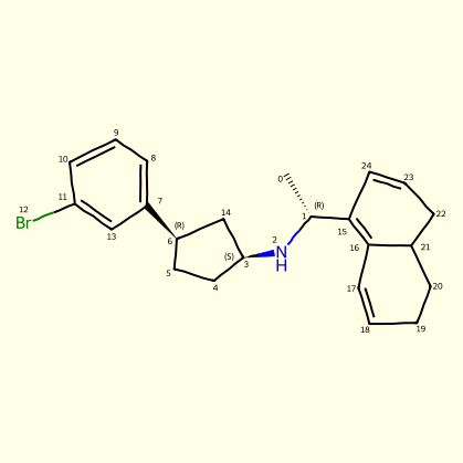 C[C@@H](N[C@H]1CC[C@@H](c2cccc(Br)c2)C1)C1=C2C=CCCC2CC=C1